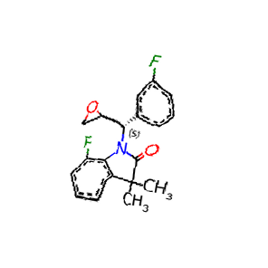 CC1(C)C(=O)N([C@@H](c2cccc(F)c2)C2CO2)c2c(F)cccc21